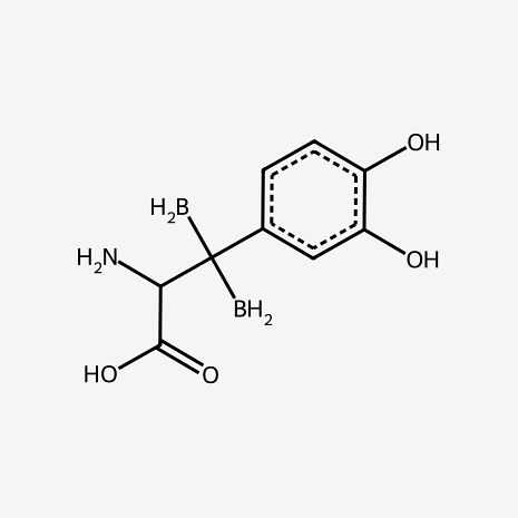 BC(B)(c1ccc(O)c(O)c1)C(N)C(=O)O